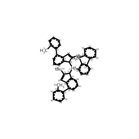 Cc1ccccc1-c1cccc2c1C=C(C(C)(C)C)[CH]2[Hf]([c]1cccc2c1[SiH2]c1ccccc1-2)[CH]1C(C(C)(C)C)=Cc2c(-c3ccccc3C)cccc21